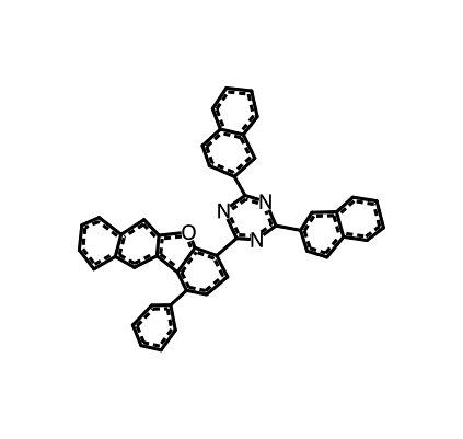 c1ccc(-c2ccc(-c3nc(-c4ccc5ccccc5c4)nc(-c4ccc5ccccc5c4)n3)c3oc4cc5ccccc5cc4c23)cc1